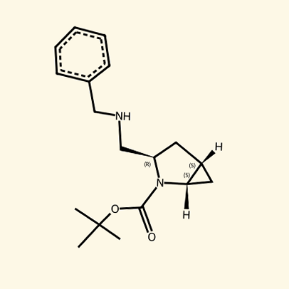 CC(C)(C)OC(=O)N1[C@@H](CNCc2ccccc2)C[C@@H]2C[C@@H]21